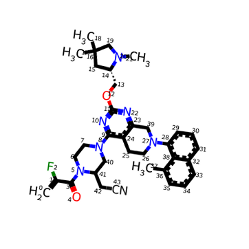 C=C(F)C(=O)N1CCN(c2nc(OC[C@@H]3CC(C)(C)CN3C)nc3c2CCN(c2cccc4cccc(C)c24)C3)CC1CC#N